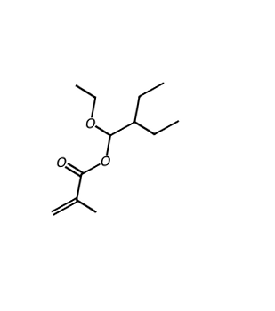 C=C(C)C(=O)OC(OCC)C(CC)CC